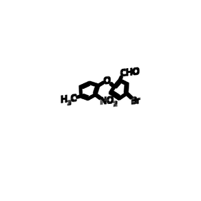 Cc1ccc(Oc2ccc(Br)cc2C=O)c([N+](=O)[O-])c1